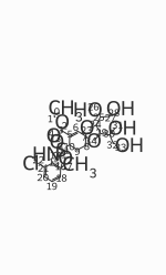 CCOC(=O)C1=CC2(CCC1S(=O)(=O)Nc1c(C)cccc1Cl)OC(C(O)CO)C(C(O)CO)O2